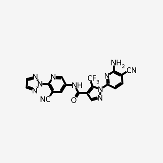 N#Cc1ccc(-n2ncc(C(=O)Nc3cnc(-n4nccn4)c(C#N)c3)c2C(F)(F)F)nc1N